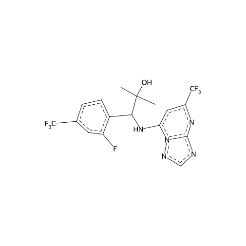 CC(C)(O)C(Nc1cc(C(F)(F)F)nc2ncnn12)c1ccc(C(F)(F)F)cc1F